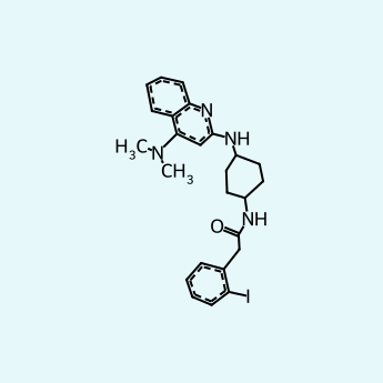 CN(C)c1cc(NC2CCC(NC(=O)Cc3ccccc3I)CC2)nc2ccccc12